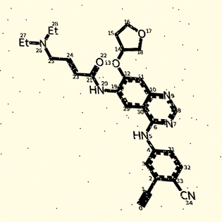 C#Cc1cc(Nc2ncnc3cc(OC4CCOC4)c(NC(=O)/C=C/CN(CC)CC)cc23)ccc1C#N